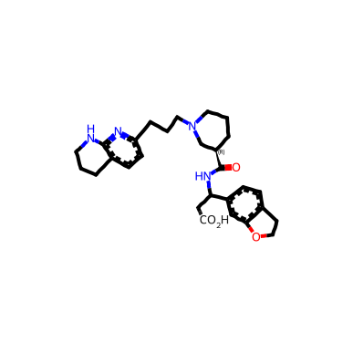 O=C(O)CC(NC(=O)[C@@H]1CCCN(CCCc2ccc3c(n2)NCCC3)C1)c1ccc2c(c1)OCC2